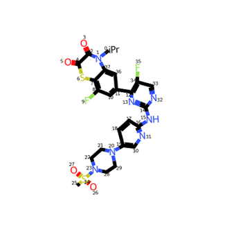 CC(C)n1c(=O)c(=O)sc2c(F)cc(-c3nc(Nc4ccc(N5CCN(S(C)(=O)=O)CC5)cn4)ncc3F)cc21